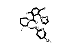 C[C@@H]1CCCN(C(=O)c2c(F)ccc(F)c2-n2nccn2)[C@@H]1CNc1ccc(C(F)(F)F)cn1